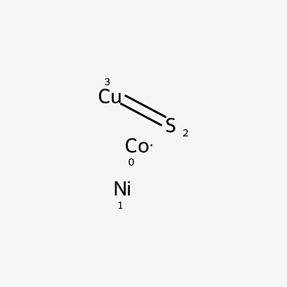 [Co].[Ni].[S]=[Cu]